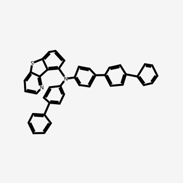 c1ccc(-c2ccc(-c3ccc(N(c4ccc(-c5ccccc5)cc4)c4cccc5sc6cccnc6c45)cc3)cc2)cc1